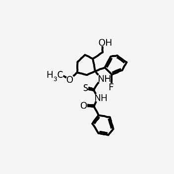 COC1CCC(CO)C(NC(=S)NC(=O)c2ccccc2)(c2ccccc2F)C1